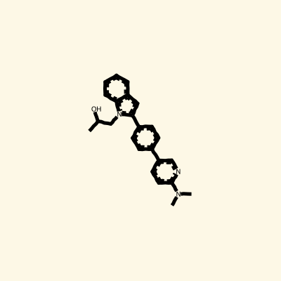 CC(O)Cn1c(-c2ccc(-c3ccc(N(C)C)nc3)cc2)cc2ccccc21